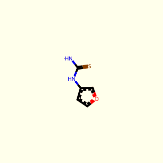 [NH]C(=S)Nc1ccoc1